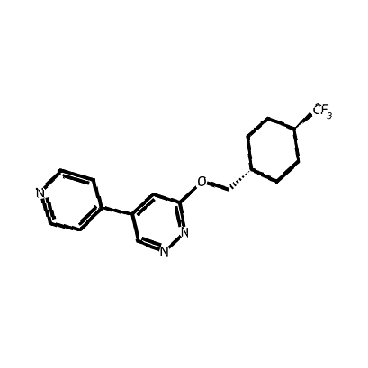 FC(F)(F)[C@H]1CC[C@H](COc2cc(-c3ccncc3)cnn2)CC1